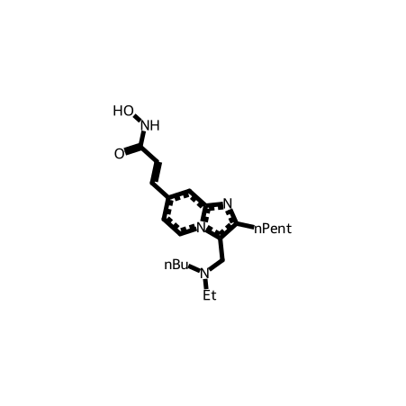 CCCCCc1nc2cc(C=CC(=O)NO)ccn2c1CN(CC)CCCC